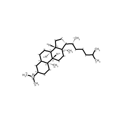 CC(C)CCC[C@@H](C)[C@H]1CC[C@H]2[C@@H]3CCC4C[CH]([GeH]([CH3])[CH3])CC[C@]4(C)[C@H]3CC[C@]12C